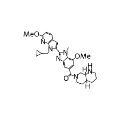 COc1ccc2cc(-c3nc4cc(C(=O)N5CC[C@H]6CCCN[C@H]6C5)cc(OC)c4n3C)n(CC3CC3)c2n1